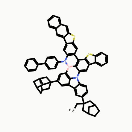 CCC1(c2ccc3c(c2)c2cc(C45CC6CC7CC(C6)(C4)C75)cc4c2n3-c2cc3c(sc5ccccc53)c3c2B4N(c2ccc(-c4ccccc4)cc2)c2cc4c(cc2-3)sc2cc3ccccc3cc24)CC2CCC(C2)C1